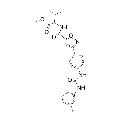 COC(=O)C(NC(=O)c1cc(-c2ccc(NC(=O)Nc3cccc(C)c3)cc2)no1)C(C)C